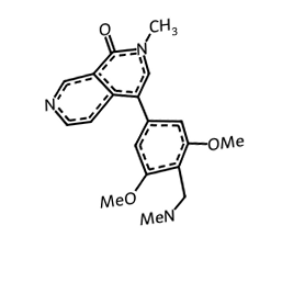 CNCc1c(OC)cc(-c2cn(C)c(=O)c3cnccc23)cc1OC